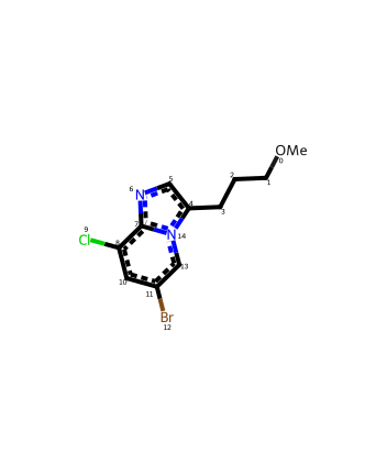 COCCCc1cnc2c(Cl)cc(Br)cn12